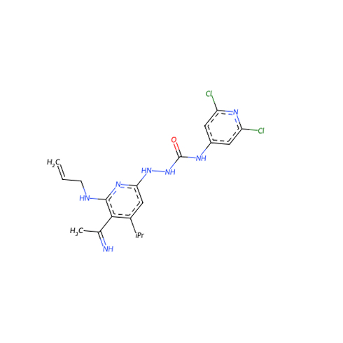 C=CCNc1nc(NNC(=O)Nc2cc(Cl)nc(Cl)c2)cc(C(C)C)c1C(C)=N